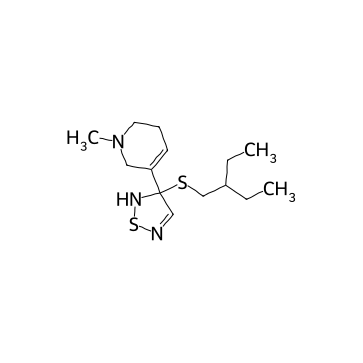 CCC(CC)CSC1(C2=CCCN(C)C2)C=NSN1